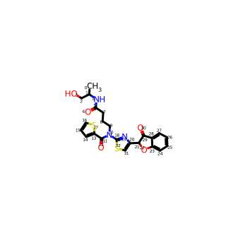 CC(CO)NC(=O)CCCN(C(=O)c1cccs1)c1nc(C2Oc3ccccc3C2=O)cs1